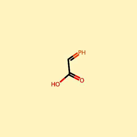 O=C(O)C=P